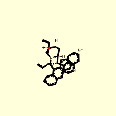 C=CCO[C@@H](c1ccnc2ccccc12)[C@H]1C[C@H]2CC[N+]1(Cc1c3ccccc3cc3ccccc13)C[C@H]2C=C.[Br-]